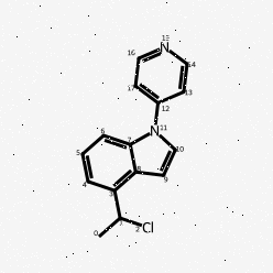 CC(Cl)c1cccc2c1ccn2-c1ccncc1